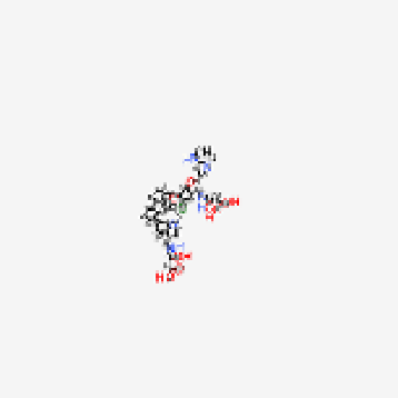 CNc1cncc(COc2cc(OCc3cccc(-c4cccc(-c5ccc6c(CNC[C@@H](O)CC(=O)O)ccnc6c5)c4C)c3C)c(Cl)cc2CNC[C@@H](O)CC(=O)O)c1